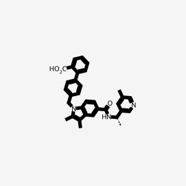 Cc1cncc([C@H](C)NC(=O)c2ccc3c(c2)c(C)c(C)n3Cc2ccc(-c3ccccc3C(=O)O)cc2)c1